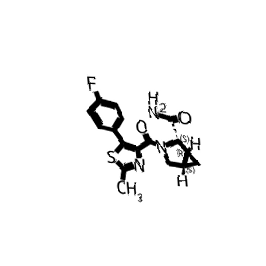 Cc1nc(C(=O)N2C[C@H]3C[C@H]3[C@H]2C(N)=O)c(-c2ccc(F)cc2)s1